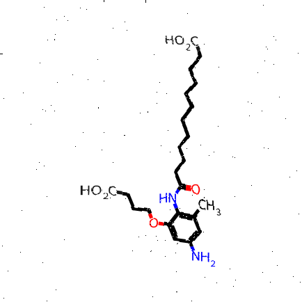 Cc1cc(N)cc(OCCCC(=O)O)c1NC(=O)CCCCCCCCCCC(=O)O